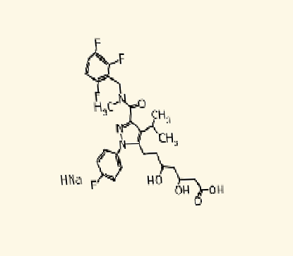 CC(C)c1c(C(=O)N(C)Cc2c(F)ccc(F)c2F)nn(-c2ccc(F)cc2)c1CCC(O)CC(O)CC(=O)O.[NaH]